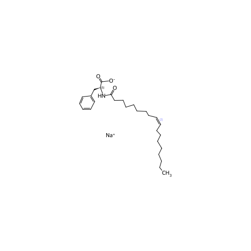 CCCCCCCC/C=C\CCCCCCCC(=O)N[C@@H](Cc1ccccc1)C(=O)[O-].[Na+]